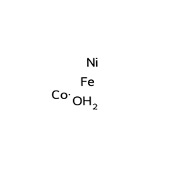 O.[Co].[Fe].[Ni]